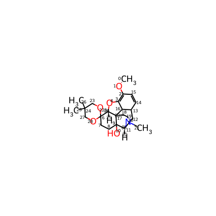 COC1=C2O[C@H]3C4(CCC5(O)[C@H]6CC(C=C1)C2[C@@]35CCN6C)OCC(C)(C)CO4